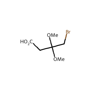 COC(CBr)(CC(=O)O)OC